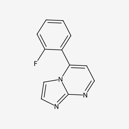 Fc1ccccc1-c1ccnc2nccn12